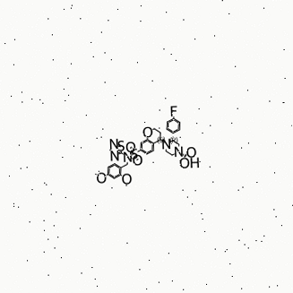 COc1ccc(CN(c2ncns2)S(=O)(=O)c2ccc3c(c2)OCC[C@@H]3N2CCN(C(=O)O)C[C@H]2c2ccc(F)cc2)c(OC)c1